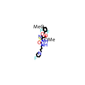 COC(=O)c1c(OCc2c(F)ccc(OC)c2F)nsc1NC(=O)NCCCCN1CCC(F)CC1